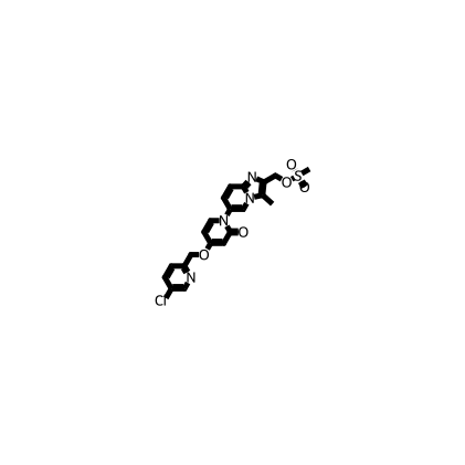 Cc1c(COS(C)(=O)=O)nc2ccc(-n3ccc(OCc4ccc(Cl)cn4)cc3=O)cn12